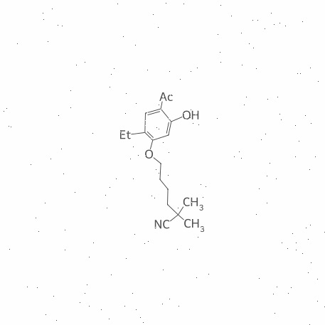 CCc1cc(C(C)=O)c(O)cc1OCCCCC(C)(C)C#N